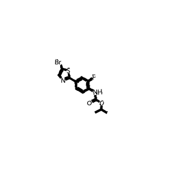 CC(C)OC(=O)Nc1ccc(-c2ncc(Br)s2)cc1F